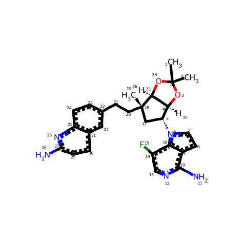 CC1(C)O[C@H]2[C@H](n3ccc4c(N)ncc(F)c43)C[C@](C)(CCc3ccc4nc(N)ccc4c3)[C@H]2O1